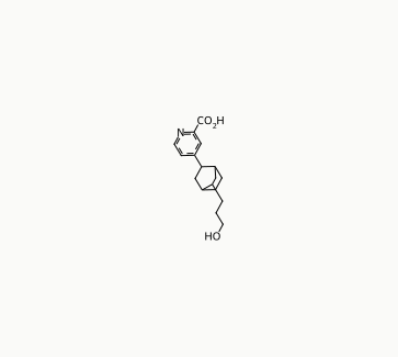 O=C(O)c1cc(C2CC3CCC2CC3CCCO)ccn1